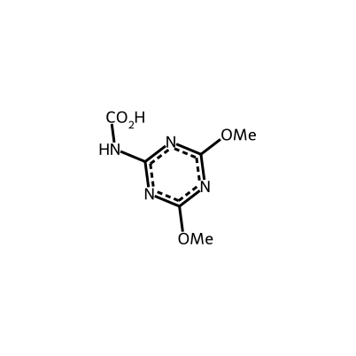 COc1nc(NC(=O)O)nc(OC)n1